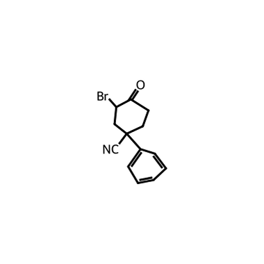 N#CC1(c2ccccc2)CCC(=O)C(Br)C1